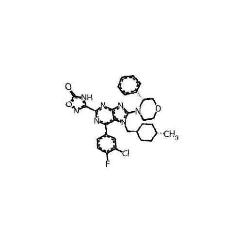 C[C@H]1CC[C@H](Cn2c(N3CCOC[C@H]3c3ccccc3)nc3nc(-c4noc(=O)[nH]4)nc(-c4ccc(F)c(Cl)c4)c32)CC1